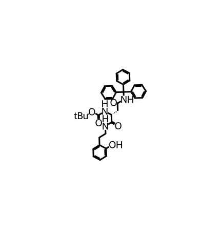 CC(C)(C)OC(=O)N[C@H](CC(=O)NC(c1ccccc1)(c1ccccc1)c1ccccc1)C(=O)NCCc1ccccc1O